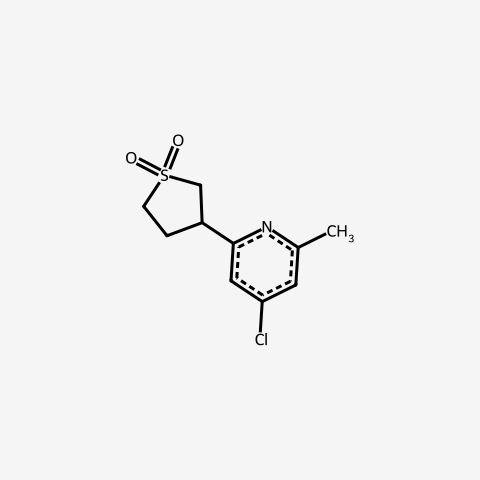 Cc1cc(Cl)cc(C2CCS(=O)(=O)C2)n1